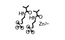 CC(C)C(=O)NCCCS(=O)(=O)[O-].CC(C)C(=O)NCCCS(=O)(=O)[O-].[Zn+2]